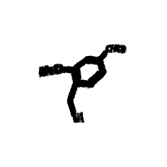 COc1cc(C=O)ccc1CS